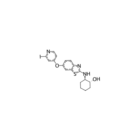 O[C@@H]1CCCC[C@H]1Nc1nc2ccc(Oc3ccnc(I)c3)cc2s1